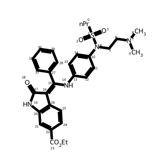 CCCS(=O)(=O)N(CCN(C)C)c1ccc(NC(=C2C(=O)Nc3cc(C(=O)OCC)ccc32)c2ccccc2)cc1